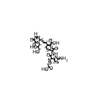 Nc1nc(/C(=N\OCC(=O)O)C(=O)NC2C(=O)N3C(C(=O)O)=C(/C=C/Sc4n[nH]c(=O)c(=O)n4CC(O)CO)CSC23)cs1